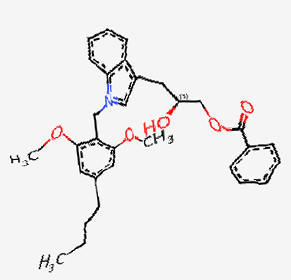 CCCCc1cc(OC)c(Cn2cc(C[C@H](O)COC(=O)c3ccccc3)c3ccccc32)c(OC)c1